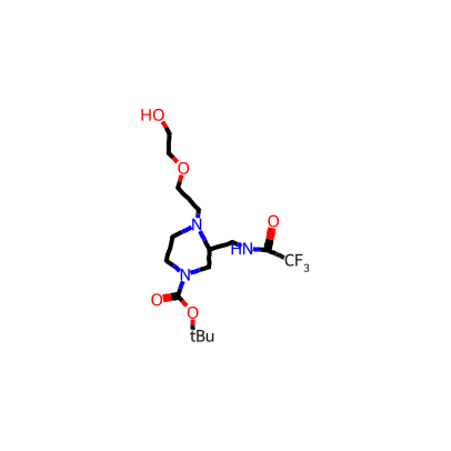 CC(C)(C)OC(=O)N1CCN(CCOCCO)C(CNC(=O)C(F)(F)F)C1